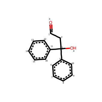 O=CCC(O)(c1ccccc1)c1ccccc1